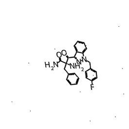 NC(=O)[C@@](N)(Cc1ccccc1)C(=O)c1nn(Cc2ccc(F)cc2)c2ccccc12